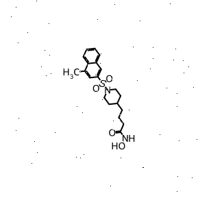 Cc1cc(S(=O)(=O)N2CCC(CCCC(=O)NO)CC2)cc2ccccc12